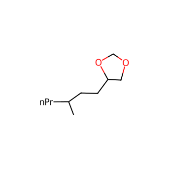 CCCC(C)CCC1COCO1